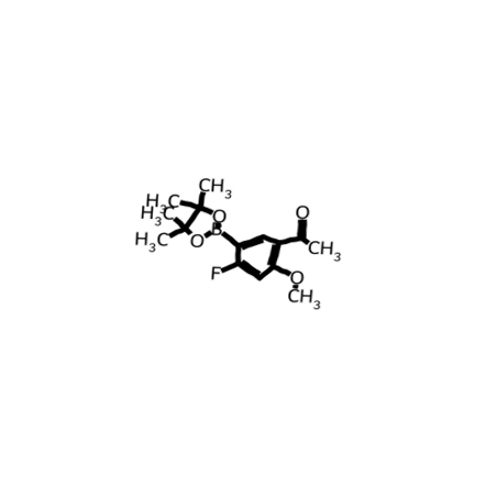 COc1cc(F)c(B2OC(C)(C)C(C)(C)O2)cc1C(C)=O